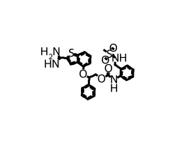 CS(=O)(=O)NCc1ccccc1NC(=O)OCC(Oc1cccc2sc(C(=N)N)cc12)c1ccccc1